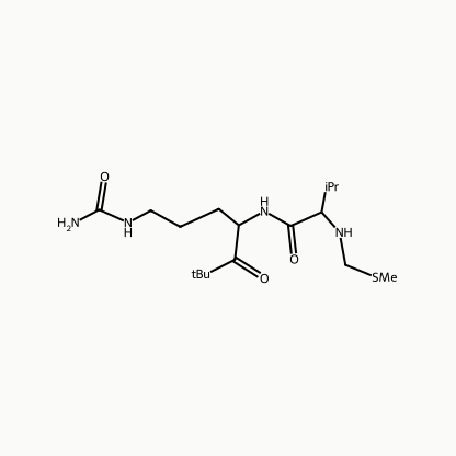 CSCNC(C(=O)NC(CCCNC(N)=O)C(=O)C(C)(C)C)C(C)C